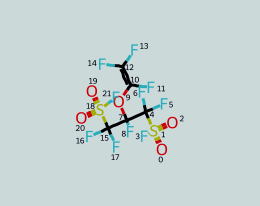 O=S(=O)(F)C(F)(F)C(F)(OC(F)=C(F)F)C(F)(F)S(=O)(=O)F